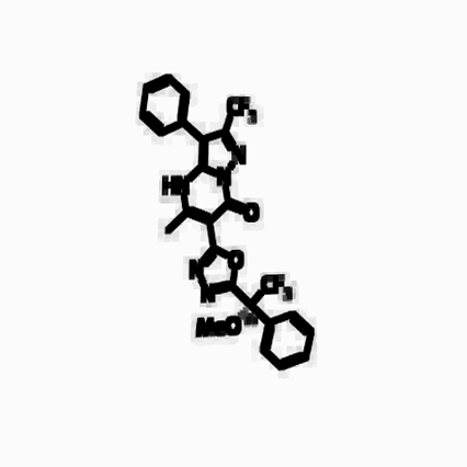 CO[C@](c1ccccc1)(c1nnc(-c2c(C)[nH]c3c(-c4ccccc4)c(C(F)(F)F)nn3c2=O)o1)C(F)(F)F